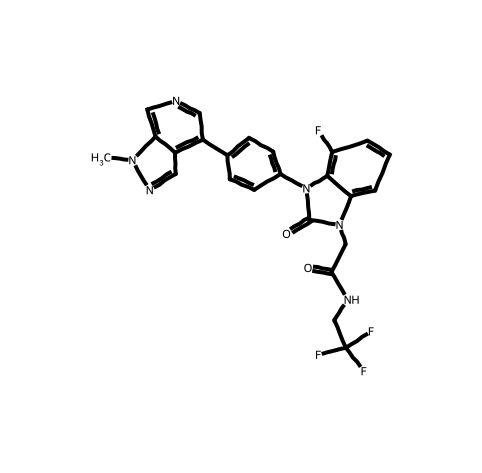 Cn1ncc2c(-c3ccc(-n4c(=O)n(CC(=O)NCC(F)(F)F)c5cccc(F)c54)cc3)cncc21